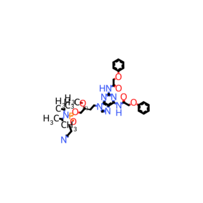 CO[C@@H](CCn1cnc2c(NC(=O)COc3ccccc3)nc(NC(=O)COc3ccccc3)nc21)COP(OCCC#N)N(C(C)C)C(C)C